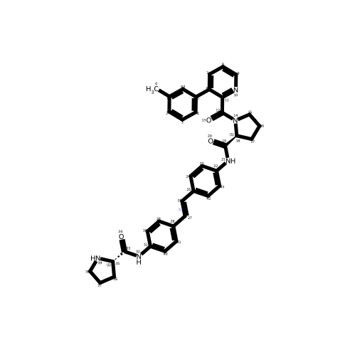 Cc1cccc(-c2cccnc2C(=O)N2CCC[C@H]2C(=O)Nc2ccc(/C=C/c3ccc(NC(=O)[C@@H]4CCCN4)cc3)cc2)c1